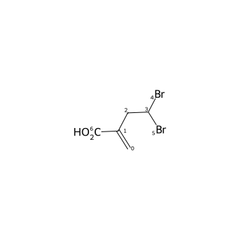 C=C(CC(Br)Br)C(=O)O